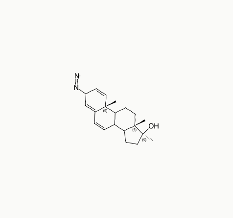 C[C@]12C=CC(N=[N])C=C1C=CC1C2CC[C@@]2(C)C1CC[C@]2(C)O